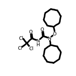 O=C(NC(=O)C(Cl)(Cl)Cl)N(OC1CCCCCCC1)C1CCCCCCC1